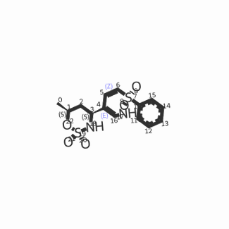 C[C@H]1C[C@@H](C(/C=C\S(=O)(=O)c2ccccc2)=C/N)NS(=O)(=O)O1